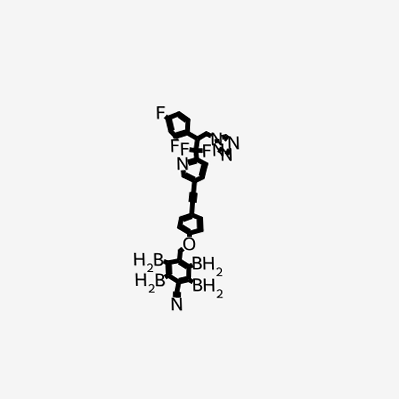 Bc1c(B)c(COc2ccc(C#Cc3ccc(C(F)(F)C(Cn4cnnn4)c4ccc(F)cc4F)nc3)cc2)c(B)c(B)c1C#N